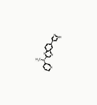 CN(c1cccnc1)c1cnc2cc(-c3cn[nH]c3)ccc2n1